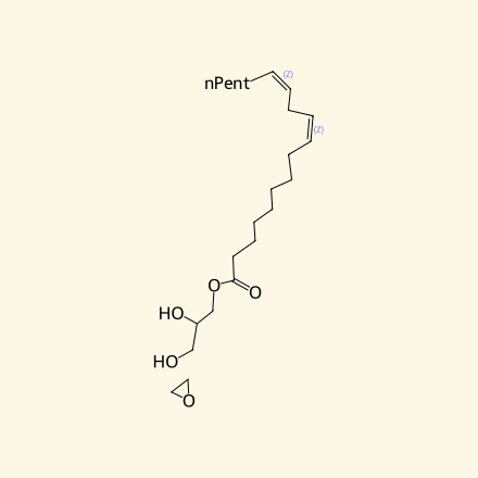 C1CO1.CCCCC/C=C\C/C=C\CCCCCCCC(=O)OCC(O)CO